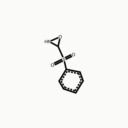 O=S(=O)(c1ccccc1)C1NO1